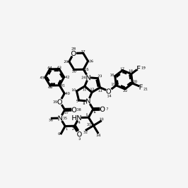 CC(C(=O)NC(C(=O)N1CCC2C1C(Oc1ccc(F)c(F)c1)=CN2C1CCOCC1)C(C)(C)C)N(C)C(=O)OCc1ccccc1